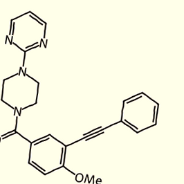 COc1ccc(C(=O)N2CCN(c3ncccn3)CC2)cc1C#Cc1ccccc1